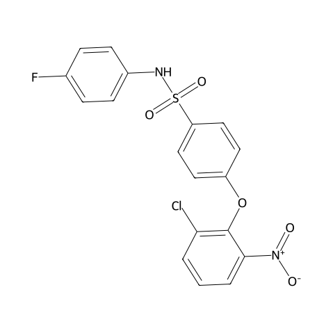 O=[N+]([O-])c1cccc(Cl)c1Oc1ccc(S(=O)(=O)Nc2ccc(F)cc2)cc1